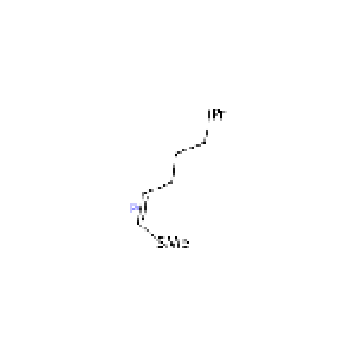 CS/C=C\CCCC(C)C